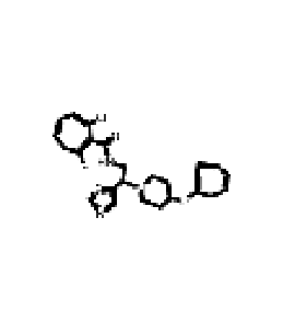 O=C(NCC(c1cncs1)N1CCC(OC2=CC=CC=CC2)CC1)C1=C(F)CC=CC=C1Cl